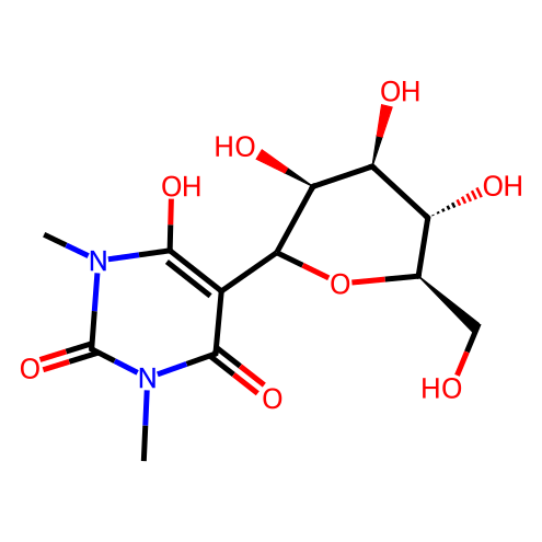 Cn1c(O)c(C2O[C@H](CO)[C@@H](O)[C@H](O)[C@@H]2O)c(=O)n(C)c1=O